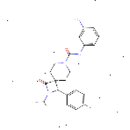 CC(C)N1C(=O)C2(CCN(C(=O)Nc3cccc(N)c3)CC2)C1c1ccc(Br)cc1